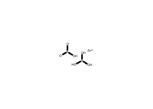 OB(O)O.[O-]B([O-])O.[Zn+2]